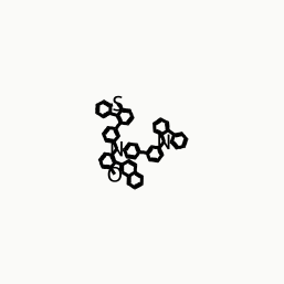 c1cc(-c2cccc3sc4ccccc4c23)cc(N(c2ccc(-c3cccc(-n4c5ccccc5c5ccccc54)c3)cc2)c2cccc3oc4c5ccccc5ccc4c23)c1